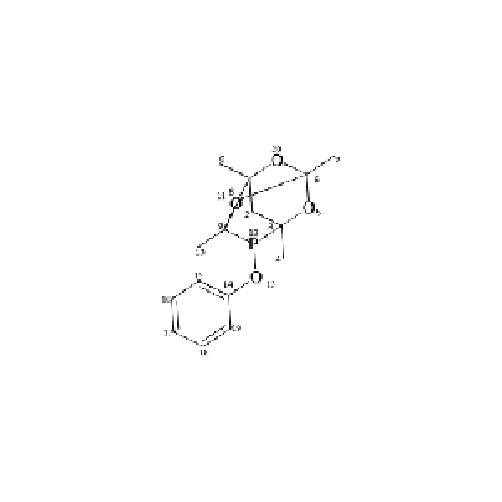 CC12CC3(C)OC(C)(CC(C)(O1)P3Oc1ccccc1)O2